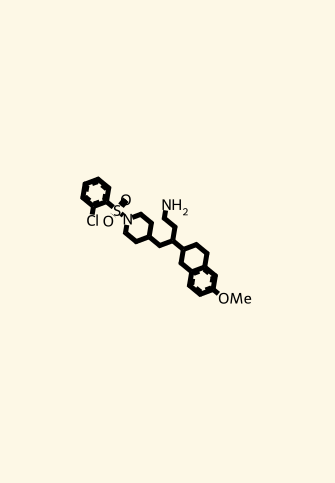 COc1ccc2c(c1)CCC(C(CCN)CC1CCN(S(=O)(=O)c3ccccc3Cl)CC1)C2